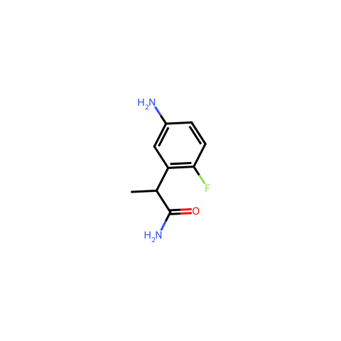 CC(C(N)=O)c1cc(N)ccc1F